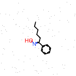 CCCCCC(=NO)c1ccccc1